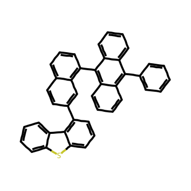 c1ccc(-c2c3ccccc3c(-c3cccc4ccc(-c5cccc6sc7ccccc7c56)cc34)c3ccccc23)cc1